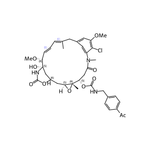 COc1cc2cc(c1Cl)N(C)C(=O)C[C@H](OC(=O)NCc1ccc(C(C)=O)cc1)[C@]1(C)O[C@H]1C[C@@H]1C[C@@](O)(NC(=O)O1)[C@H](OC)/C=C/C=C(\C)C2